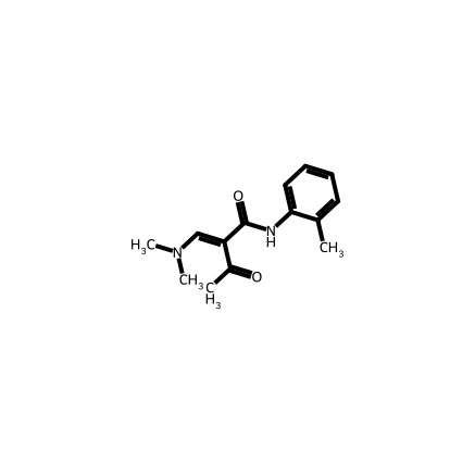 CC(=O)/C(=C\N(C)C)C(=O)Nc1ccccc1C